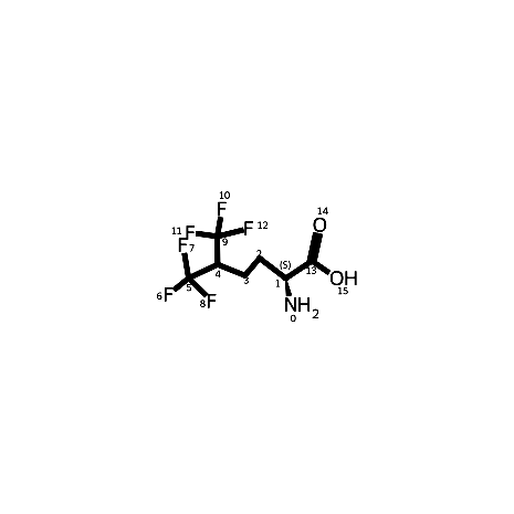 N[C@@H](CCC(C(F)(F)F)C(F)(F)F)C(=O)O